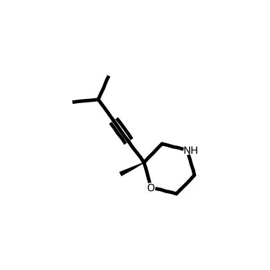 CC(C)C#C[C@]1(C)CNCCO1